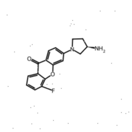 N[C@@H]1CCN(c2ccc3c(=O)c4cccc(F)c4oc3c2)C1